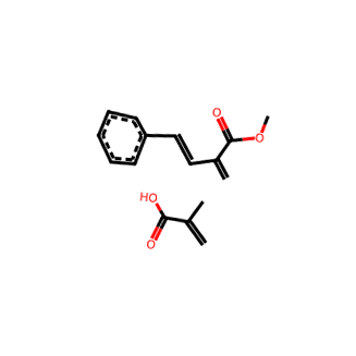 C=C(C)C(=O)O.C=C(C=Cc1ccccc1)C(=O)OC